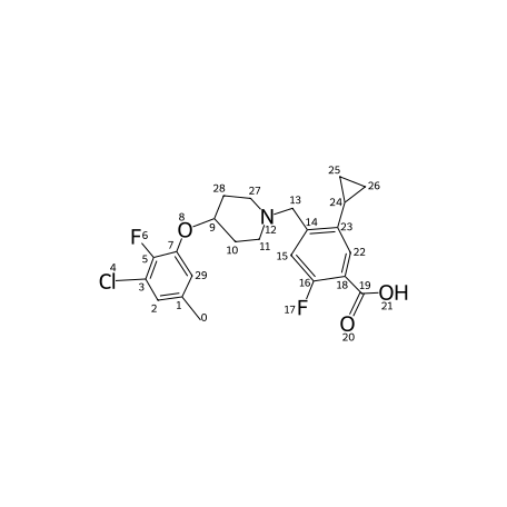 Cc1cc(Cl)c(F)c(OC2CCN(Cc3cc(F)c(C(=O)O)cc3C3CC3)CC2)c1